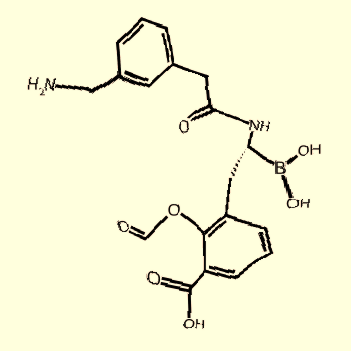 NCc1cccc(CC(=O)N[C@@H](Cc2cccc(C(=O)O)c2OC=O)B(O)O)c1